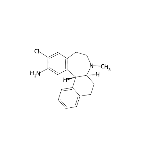 CN1CCc2cc(Cl)c(N)cc2[C@H]2c3ccccc3CC[C@@H]21